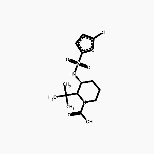 CC(C)(C)C1[C@@H](NS(=O)(=O)c2ccc(Cl)s2)CCCN1C(=O)O